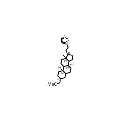 COC[C@H]1CC[C@H]2C(CC[C@@H]3C2CC[C@@]2(C)C3CC[C@@H]2CCn2ccnn2)C1